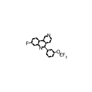 Fc1ccc2c(c1)nc(-c1cccc(OC(F)(F)F)c1)c1ccncc12